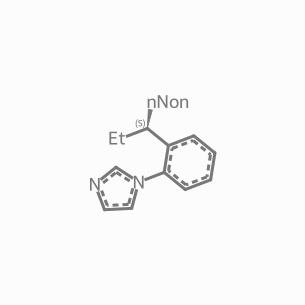 CCCCCCCCC[C@H](CC)c1ccccc1-n1ccnc1